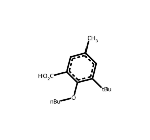 CCCCOc1c(C(=O)O)cc(C)cc1C(C)(C)C